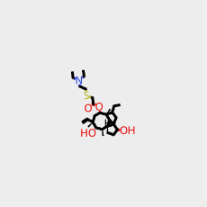 C=C[C@]1(C)C[C@@H](OC(=O)CSCCN(CC)CC)[C@]2(C)C(CC)CC34C(O)CC[C@@]3([C@@H](C)[C@@H]1O)[C@@H]42